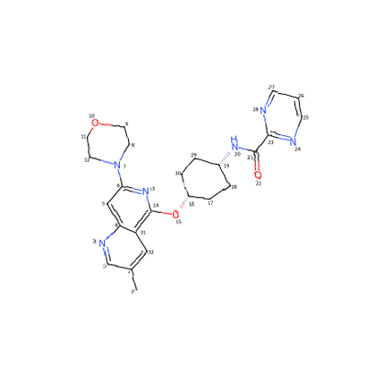 Cc1cnc2cc(N3CCOCC3)nc(O[C@H]3CC[C@@H](NC(=O)c4ncccn4)CC3)c2c1